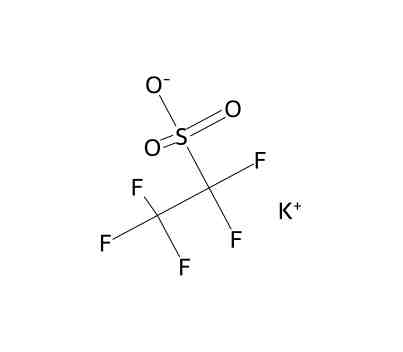 O=S(=O)([O-])C(F)(F)C(F)(F)F.[K+]